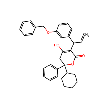 C=CC(C1=C(O)CC(c2ccccc2)(C2CCCCC2)OC1=O)c1cccc(OCc2ccccc2)c1